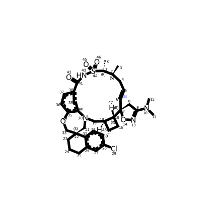 C[C@@H]1[C@@H](C)C/C=C/[C@@]2(CC(N(C)C)=NO2)[C@@H]2CC[C@H]2CN2C[C@@]3(CCCc4cc(Cl)ccc43)COc3ccc(cc32)C(=O)NS1(=O)=O